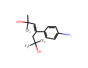 CC(O)(/C=C(\CC(O)(C(F)(F)F)C(F)(F)F)c1ccc(N)cc1)C(F)(F)F